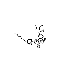 C/C=C(\NCc1ccc(C(F)(F)F)c(-c2nc(-c3ccc(CCCCCCC)cn3)cc(=O)[nH]2)c1)C(C)C